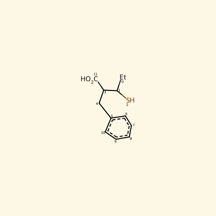 CCC(S)C(Cc1ccccc1)C(=O)O